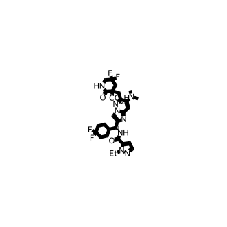 CCn1nccc1C(=O)N[C@H](c1cn2nc(CC3(C(=O)O)CC(F)(F)CNC3=O)c(N(C)C)cc2n1)C1CCC(F)(F)CC1